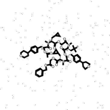 CC(=O)O[C@H](Cc1ccc(C2CCOCC2)cc1)C(=O)N(C)[C@@H](CC1CC1)C(=O)OCC(=O)N(C)[C@@H](CC(C)(C)F)C(=O)O[C@H](Cc1ccc(C2CCOCC2)cc1)C(=O)N(C)[C@@H](CC1CC1)C(=O)OCC(=O)OCc1ccccc1